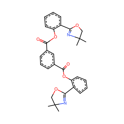 CC1(C)COC(c2ccccc2OC(=O)c2cccc(C(=O)Oc3ccccc3C3=NC(C)(C)CO3)c2)=N1